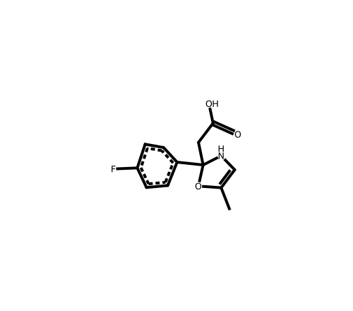 CC1=CNC(CC(=O)O)(c2ccc(F)cc2)O1